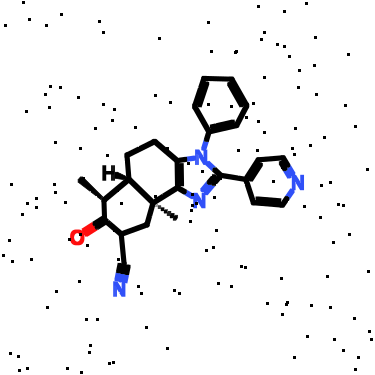 C[C@@H]1C(=O)C(C#N)C[C@]2(C)c3nc(-c4ccncc4)n(-c4ccccc4)c3CC[C@@H]12